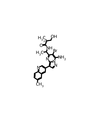 Cc1ccc2ncc(-c3cnn4c(N)c(Br)c(C(C)NC(=O)[C@@H](C)CO)nc34)cc2c1